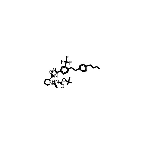 C=C(NC(=O)OC(C)(C)C)N1CCC[C@H]1c1nc(-c2ccc(CCc3ccc(CCCC)cc3)c(C(F)(F)F)c2)no1